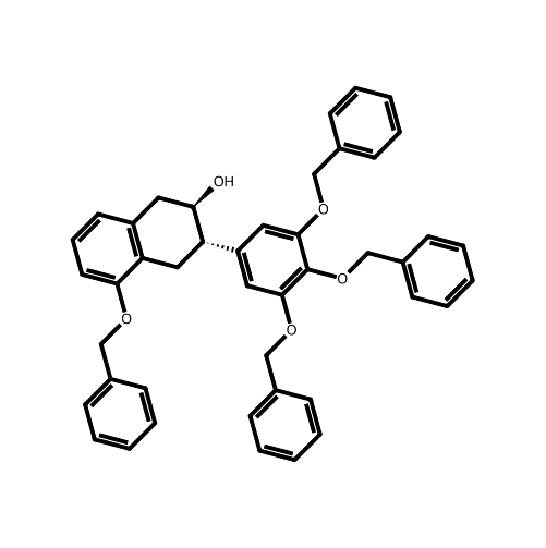 O[C@@H]1Cc2cccc(OCc3ccccc3)c2C[C@H]1c1cc(OCc2ccccc2)c(OCc2ccccc2)c(OCc2ccccc2)c1